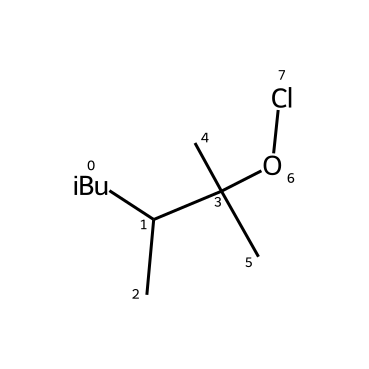 CCC(C)C(C)C(C)(C)OCl